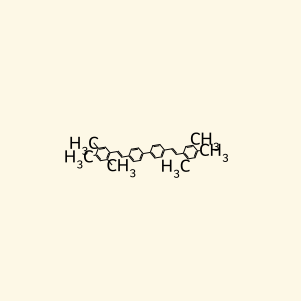 Cc1cc(C)c(/C=C/c2ccc(-c3ccc(/C=C/c4cc(C)c(C)cc4C)cc3)cc2)cc1C